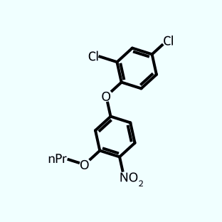 CCCOc1cc(Oc2ccc(Cl)cc2Cl)ccc1[N+](=O)[O-]